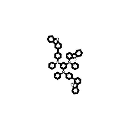 c1ccc(N(c2ccc(-c3ccc4oc5ccccc5c4c3)cc2)c2cc(N(c3ccccc3)c3ccc(-c4cccc5c4oc4ccccc45)cc3)cc(N(c3ccccc3)c3cccc4c3sc3ccccc34)c2)cc1